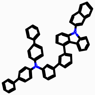 c1ccc(-c2ccc(N(c3ccc(-c4ccccc4)cc3)c3cccc(-c4cccc(-c5cccc6c5c5ccccc5n6-c5ccc6ccccc6c5)c4)c3)cc2)cc1